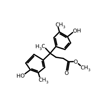 COC(=O)CCC(C)(c1ccc(O)c(C)c1)c1ccc(O)c(C)c1